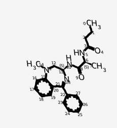 CCCC(=O)N[C@@H](C)C(=O)N[C@@H]1CN(C)c2ccccc2C(c2ccccc2)=N1